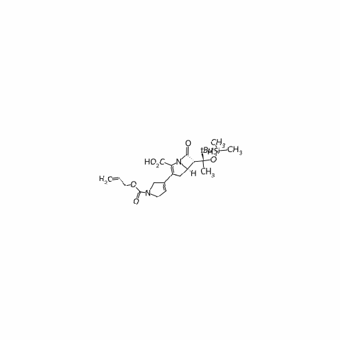 C=CCOC(=O)N1CC=C(C2=C(C(=O)O)N3C(=O)[C@H]([C@@](C)(O[SiH](C)C)C(C)(C)C)[C@H]3C2)C1